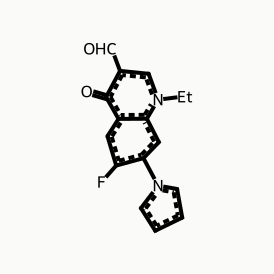 CCn1cc(C=O)c(=O)c2cc(F)c(-n3cccc3)cc21